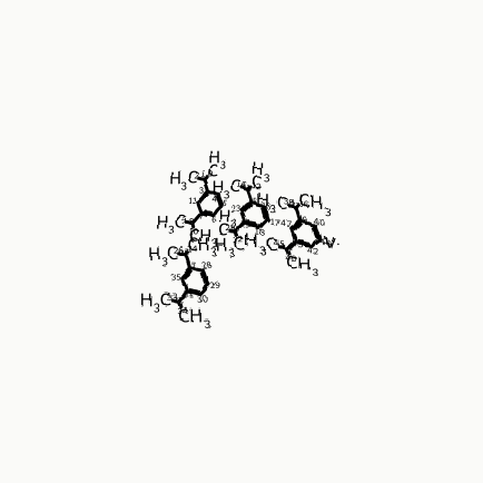 CC(C)c1cccc(C(C)C)c1.CC(C)c1cccc(C(C)C)c1.CC(C)c1cccc(C(C)C)c1.CC(C)c1cccc(C(C)C)c1.[V]